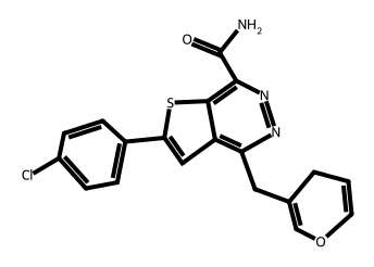 NC(=O)c1nnc(CC2=COC=CC2)c2cc(-c3ccc(Cl)cc3)sc12